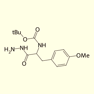 COc1ccc(CC(NC(=O)OC(C)(C)C)C(=O)NN)cc1